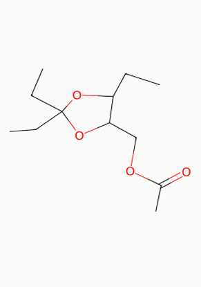 CCC1OC(CC)(CC)OC1COC(C)=O